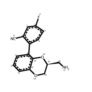 N#Cc1cc(F)ccc1-c1cccc2c1O[C@@H](CN)CO2